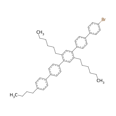 CCCCCCc1cc(-c2ccc(-c3ccc(CCCC)cc3)cc2)c(CCCCCC)cc1-c1ccc(-c2ccc(Br)cc2)cc1